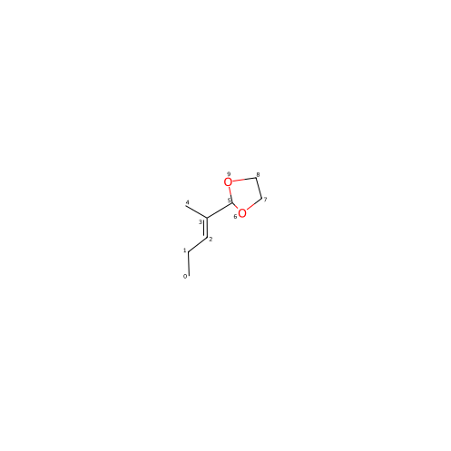 CCC=C(C)C1OCCO1